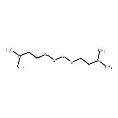 CN(C)CCSSSSCCN(C)C